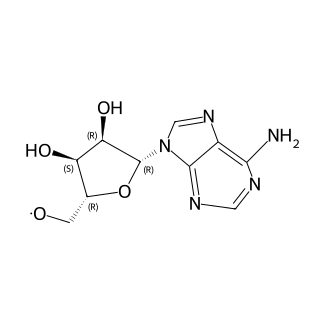 Nc1ncnc2c1ncn2[C@@H]1O[C@H](C[O])[C@@H](O)[C@H]1O